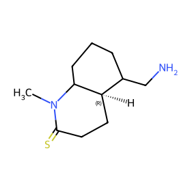 CN1C(=S)CC[C@@H]2C(CN)CCCC21